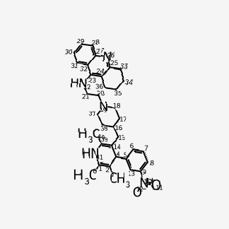 CC1=C(C)C(c2cccc([N+](=O)[O-])c2)C(CC2CCN(CCNc3c4c(nc5ccccc35)CCCC4)CC2)=C(C)N1